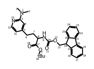 CN(C)c1cc(CCC(NC(=O)OCC2c3ccccc3-c3ccccc32)C(=O)OC(C)(C)C)ccn1